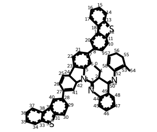 CCC1C(N2c3cc(-c4ccc5sc6ccccc6c5c4)ccc3C3C=CC(c4ccc5sc6ccccc6c5c4)=CC32)=Nc2ccccc2/C1=N/C1=C(C)CCC=C1